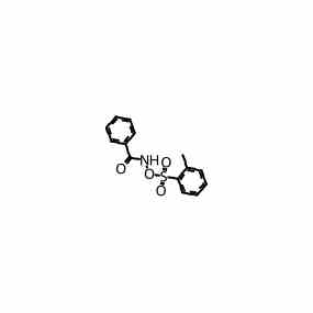 Cc1ccccc1S(=O)(=O)ONC(=O)c1ccccc1